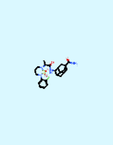 CC(C(=O)NC1C2CC3CC1CC(C(N)=O)(C3)C2)N1CCCN(c2ccccc2F)S1(=O)=O